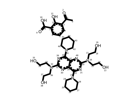 CC(=O)c1cccc(C(=O)O)c1O.OCCN(CCO)c1nc(N2CCCCC2)c2nc(N(CCO)CCO)nc(N3CCCCC3)c2n1